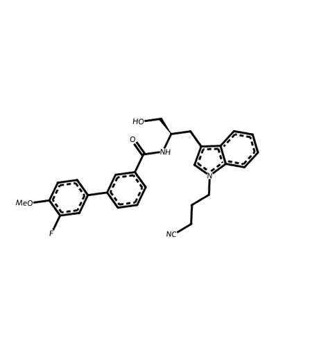 COc1ccc(-c2cccc(C(=O)N[C@@H](CO)Cc3cn(CCCC#N)c4ccccc34)c2)cc1F